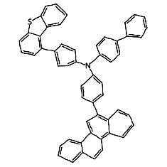 c1ccc(-c2ccc(N(c3ccc(-c4cc5c6ccccc6ccc5c5ccccc45)cc3)c3ccc(-c4cccc5sc6ccccc6c45)cc3)cc2)cc1